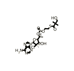 C[C@H](O[PH](=O)OCCSC(=O)C(C)(C)CO)[C@H]1O[C@@H](n2cnc3c(N)ncnc32)[C@](C)(Cl)[C@@H]1O